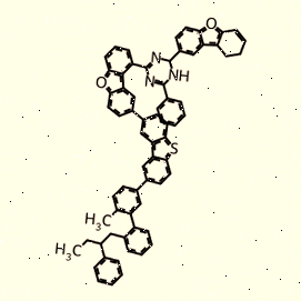 CCC(Cc1ccccc1-c1cc(-c2ccc3sc4ccc(-c5ccc6oc7cccc(C8=NC(c9ccc%10oc%11c(c%10c9)CCC=C%11)NC(c9ccccc9)=N8)c7c6c5)cc4c3c2)ccc1C)c1ccccc1